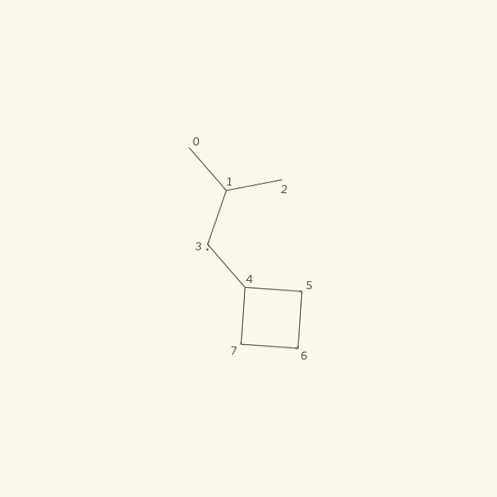 CC(C)[CH]C1CCC1